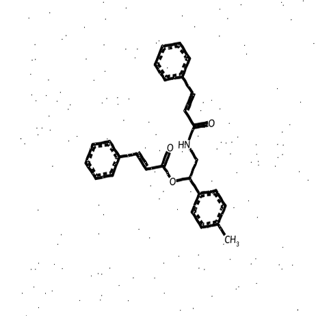 Cc1ccc(C(CNC(=O)C=Cc2ccccc2)OC(=O)C=Cc2ccccc2)cc1